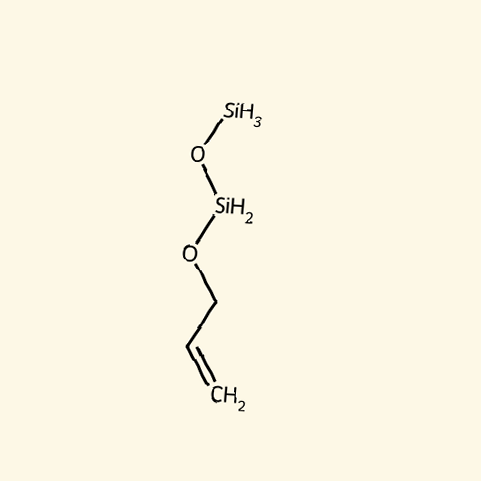 C=CCO[SiH2]O[SiH3]